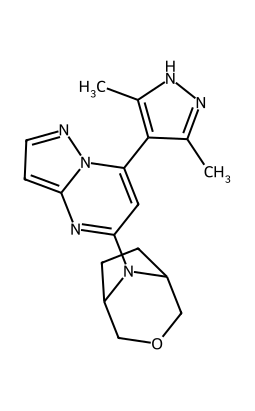 Cc1n[nH]c(C)c1-c1cc(N2C3CCC2COC3)nc2ccnn12